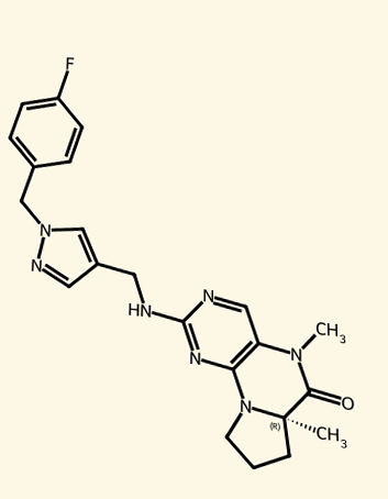 CN1C(=O)[C@@]2(C)CCCN2c2nc(NCc3cnn(Cc4ccc(F)cc4)c3)ncc21